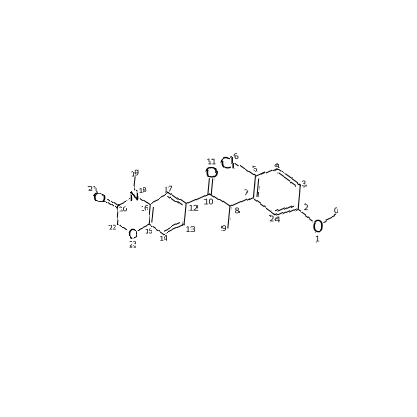 COc1ccc(Cl)c(C(C)C(=O)c2ccc3c(c2)N(C)C(=O)CO3)c1